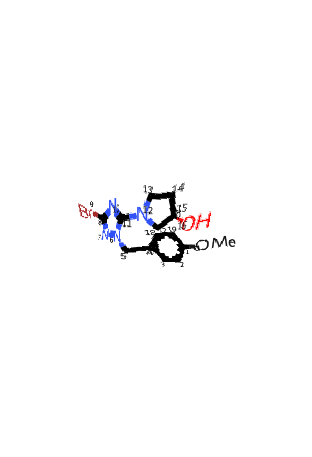 COc1ccc(Cn2nc(Br)nc2N2CC[C@@H](O)C2)cc1